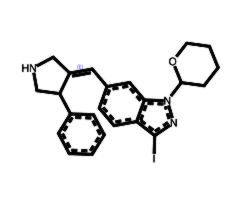 Ic1nn(C2CCCCO2)c2cc(/C=C3/CNCC3c3ccccc3)ccc12